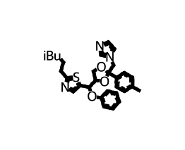 CCC(C)CCc1ncc(C(Oc2ccccc2)C2COC(Cn3ccnc3)(c3ccc(C)cc3)O2)s1